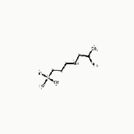 CC(N)CNCCC[Si](O)(O)O